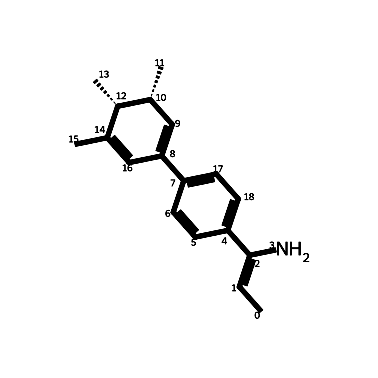 C/C=C(\N)c1ccc(C2=C[C@@H](C)[C@@H](C)C(C)=C2)cc1